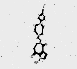 Cn1ccc2c1C(=O)CCN(CCN1CCN(c3ccc(F)cc3)CC1)C2=O